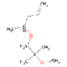 C=CC[SiH](C)O[SiH2][Si](C)(C)O[SiH3]